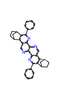 c1ccc(-c2nc3c(cnc4c5nc(-c6ccccc6)c6c(c5cnc34)C3CCC6C3)c3c2C2CCC3C2)cc1